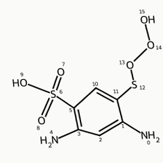 Nc1cc(N)c(S(=O)(=O)O)cc1SOOO